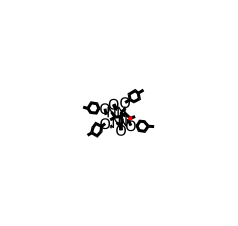 CCCC12N(COC3CCC(C)CC3)C(=O)N(COC3CCC(C)CC3)C1(C)N(COC1CCC(C)CC1)C(=O)N2COC1CCC(C)CC1